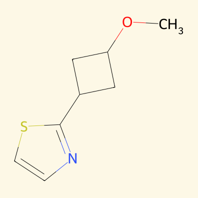 COC1CC(c2nccs2)C1